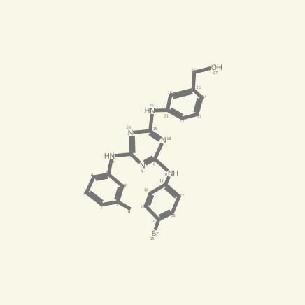 Cc1cccc(Nc2nc(Nc3ccc(Br)cc3)nc(Nc3cccc(CO)c3)n2)c1